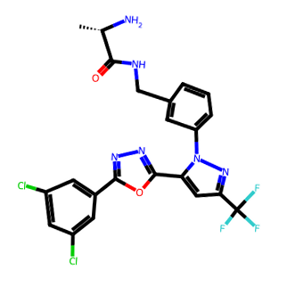 C[C@H](N)C(=O)NCc1cccc(-n2nc(C(F)(F)F)cc2-c2nnc(-c3cc(Cl)cc(Cl)c3)o2)c1